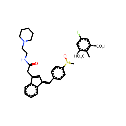 C[S+]([O-])c1ccc(C=C2C=C(CC(=O)NCCN3CCCCC3)c3ccccc32)cc1.Cc1c(C(=O)O)cc(F)cc1C(=O)O